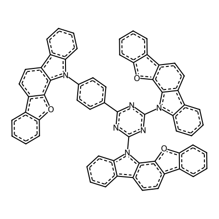 c1ccc2c(c1)oc1c2ccc2c3ccccc3n(-c3ccc(-c4nc(-n5c6ccccc6c6ccc7c8ccccc8oc7c65)nc(-n5c6ccccc6c6ccc7c8ccccc8oc7c65)n4)cc3)c21